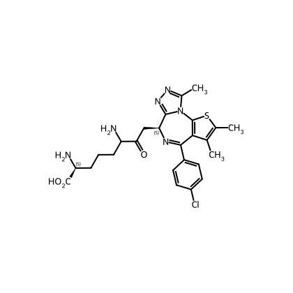 Cc1sc2c(c1C)C(c1ccc(Cl)cc1)=N[C@@H](CC(=O)C(N)CCC[C@H](N)C(=O)O)c1nnc(C)n1-2